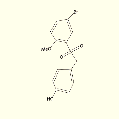 COc1ccc(Br)cc1S(=O)(=O)Cc1ccc(C#N)cc1